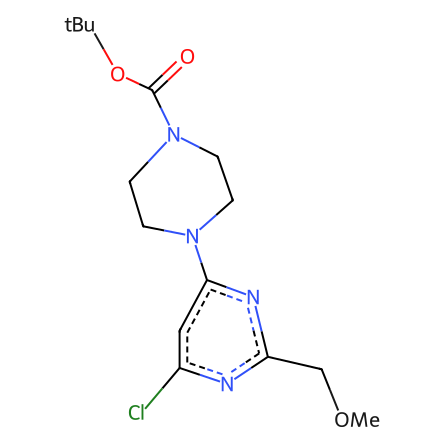 COCc1nc(Cl)cc(N2CCN(C(=O)OC(C)(C)C)CC2)n1